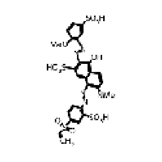 C=CS(=O)(=O)c1ccc(/N=N/c2c(NC)ccc3c(O)c(/N=N/c4cc(S(=O)(=O)O)ccc4OC)c(S(=O)(=O)O)cc23)c(S(=O)(=O)O)c1